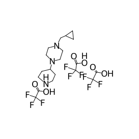 C1CC(N2CCN(CC3CC3)CC2)CCN1.O=C(O)C(F)(F)F.O=C(O)C(F)(F)F.O=C(O)C(F)(F)F